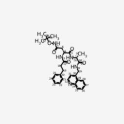 C[C@H](NC(=O)[C@H](CC(=O)NOC(C)(C)C)NC(=O)CCc1ccccc1)C(=O)NCc1ccnc2ccccc12